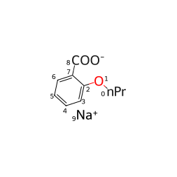 CCCOc1ccccc1C(=O)[O-].[Na+]